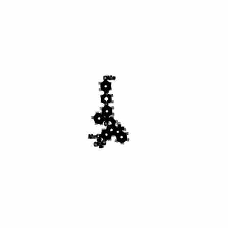 COc1ccc(N2CCN(c3ccc(C4(c5ccccc5)C=Cc5c6c(c7cc(OS(C)(=O)=O)c(OC)cc7c5O4)-c4ccccc4C6(C)C)cc3)CC2)cc1